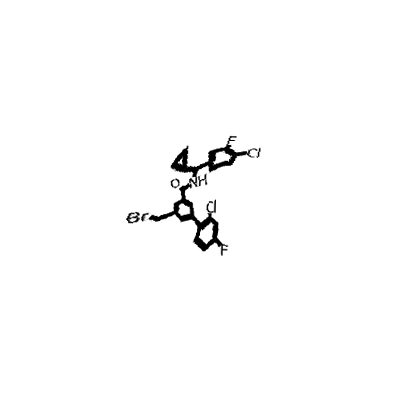 O=C(NC(c1ccc(Cl)c(F)c1)C1CC1)c1cc(CBr)cc(-c2ccc(F)cc2Cl)c1